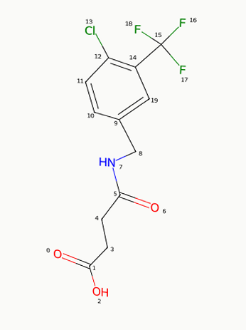 O=C(O)CCC(=O)NCc1ccc(Cl)c(C(F)(F)F)c1